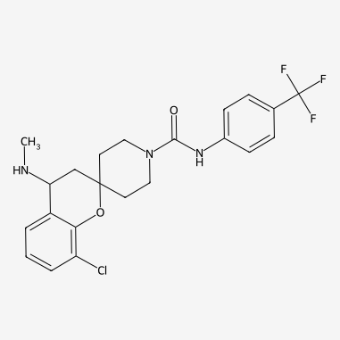 CNC1CC2(CCN(C(=O)Nc3ccc(C(F)(F)F)cc3)CC2)Oc2c(Cl)cccc21